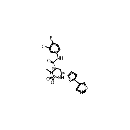 CN1[C@H](C(=O)Nc2ccc(F)c(Cl)c2)C[C@H](c2ccc(-c3cncnc3)s2)NS1(=O)=O